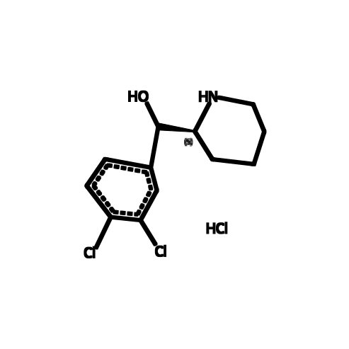 Cl.OC(c1ccc(Cl)c(Cl)c1)[C@@H]1CCCCN1